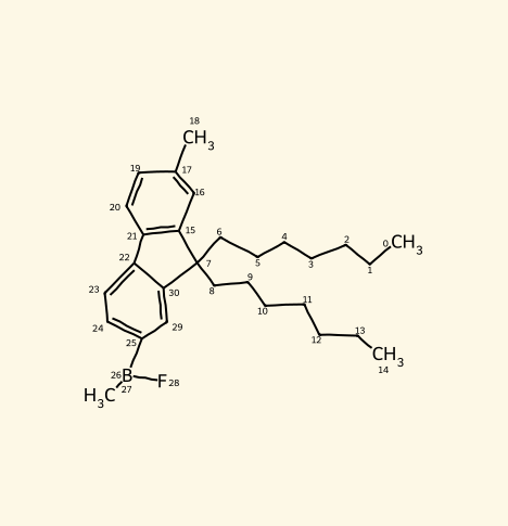 CCCCCCCC1(CCCCCCC)c2cc(C)ccc2-c2ccc(B(C)F)cc21